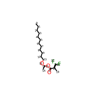 CCCCCCCCCCCCOC(C)OC(=O)C(C)=C(F)F